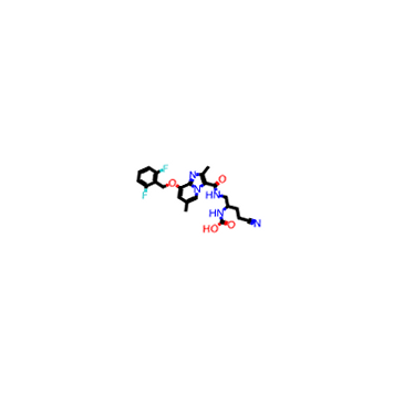 Cc1cc(OCc2c(F)cccc2F)c2nc(C)c(C(=O)NCC(CCC#N)NC(=O)O)n2c1